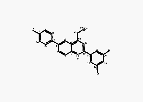 Cc1ccc(-c2ccc3nc(-c4cc(C)cc(C)c4)cc(CC(C)C)c3c2)cc1